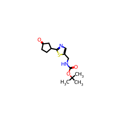 CC(C)(C)OC(=O)NCc1cnc(C2CCC(=O)C2)s1